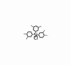 Cc1cc(C)cc([Si](Cl)(c2ccc(C)c(C)c2)c2ccc(C)c(C)c2)c1